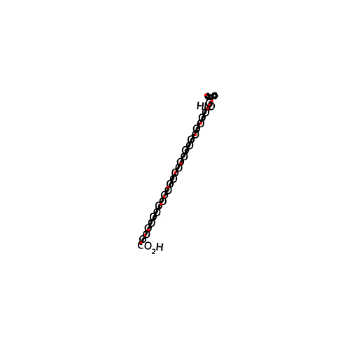 O=C(O)CCOCCOCCOCCOCCOCCOCCOCCOCCOCCOCCOCCOCCOCCOCCOCCOCCOCCOCCOCCOCCOCCOCCOCCOCCNC(=O)OCC1c2ccccc2-c2ccccc21